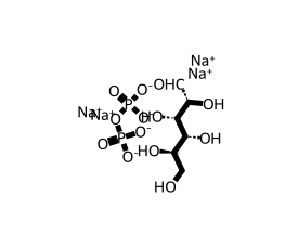 O=C[C@H](O)[C@@H](O)[C@H](O)[C@H](O)CO.O=P([O-])([O-])OP(=O)([O-])[O-].[Na+].[Na+].[Na+].[Na+]